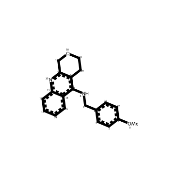 COc1ccc(CNc2c3c(nc4ccccc24)COCC3)cc1